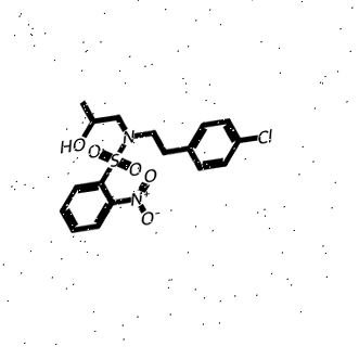 CC(O)CN(CCc1ccc(Cl)cc1)S(=O)(=O)c1ccccc1[N+](=O)[O-]